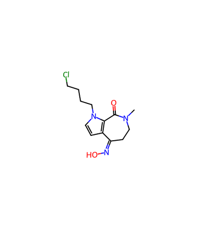 CN1CC/C(=N/O)c2ccn(CCCCCl)c2C1=O